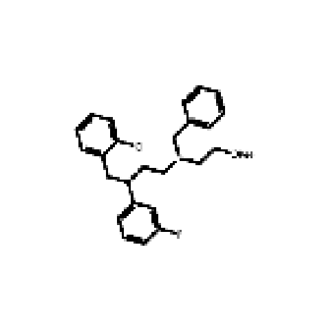 COCCN(CCC(Cc1ccccc1Cl)c1cccc(F)c1)Cc1ccccc1